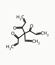 C=CC(=O)C(C=C)(C(=O)C=C)C(=O)C=C